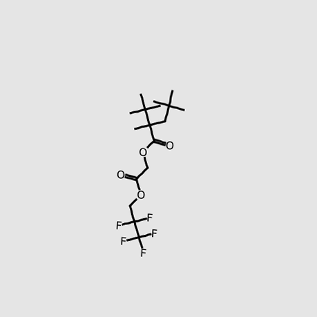 CC(C)(C)CC(C)(C(=O)OCC(=O)OCC(F)(F)C(F)(F)F)C(C)(C)C